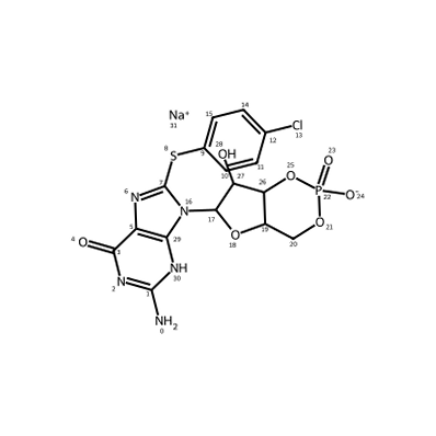 Nc1nc(=O)c2nc(Sc3ccc(Cl)cc3)n(C3OC4COP(=O)([O-])OC4C3O)c2[nH]1.[Na+]